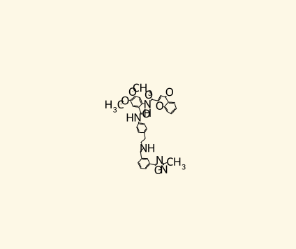 COc1cc(NC(=O)c2cc(=O)c3ccccc3o2)c(C(=O)Nc2ccc(CCNCc3cccc(-c4nc(C)no4)c3)cc2)cc1OC